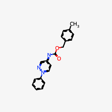 Cc1ccc(COC(=O)/N=c2\ccn(-c3ccccc3)nc2)cc1